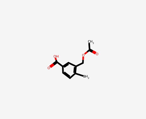 Bc1ccc(C(=O)O)cc1COC(C)=O